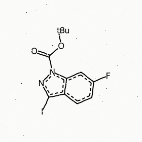 CC(C)(C)OC(=O)n1nc(I)c2ccc(F)cc21